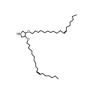 CCCCCC/C=C\CCCCCCCCCCOC1CNCC1OCCCCCCCCCC/C=C\CCCCCC